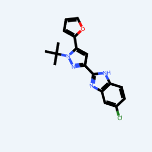 CC(C)(C)n1nc(-c2nc3cc(Cl)ccc3[nH]2)cc1-c1ccco1